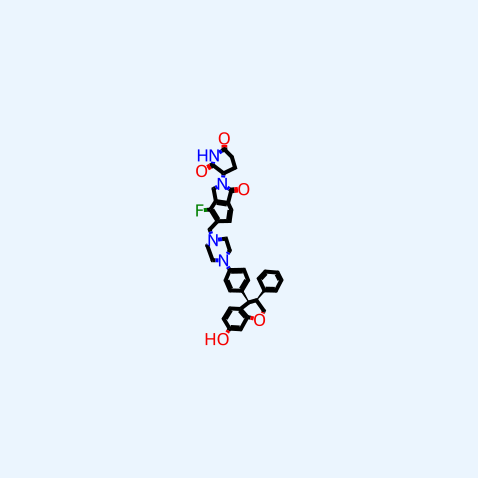 O=C1CCC(N2Cc3c(ccc(CN4CCN(c5ccc([C@@H]6c7ccc(O)cc7OC[C@@H]6c6ccccc6)cc5)CC4)c3F)C2=O)C(=O)N1